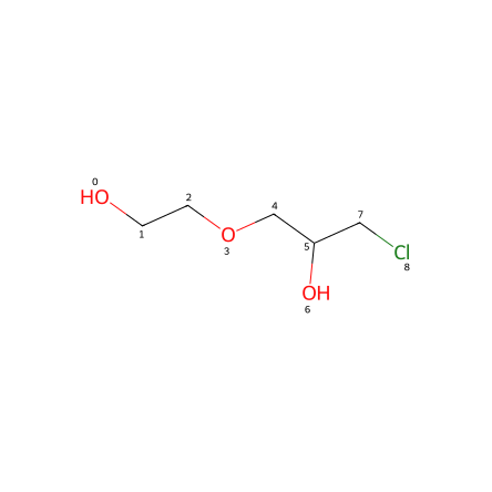 OCCOCC(O)CCl